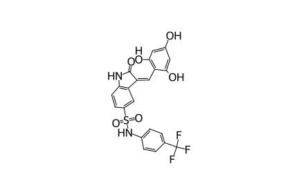 O=C1Nc2ccc(S(=O)(=O)Nc3ccc(C(F)(F)F)cc3)cc2C1=Cc1c(O)cc(O)cc1O